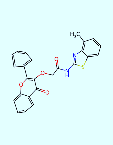 Cc1cccc2sc(NC(=O)COc3c(-c4ccccc4)oc4ccccc4c3=O)nc12